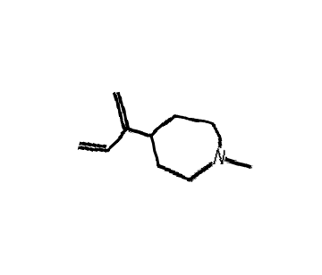 C=CC(=C)C1CCN(C)CC1